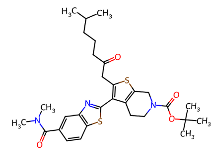 CC(C)CCCC(=O)Cc1sc2c(c1-c1nc3cc(C(=O)N(C)C)ccc3s1)CCN(C(=O)OC(C)(C)C)C2